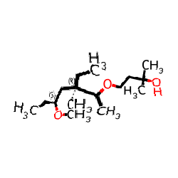 CC[C@@H](C[C@@](C)(CC)C(C)OCCC(C)(C)O)OC